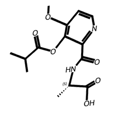 COc1ccnc(C(=O)N[C@@H](C)C(=O)O)c1OC(=O)C(C)C